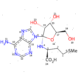 CSCC[C@H](N[C@@]1(n2cnc3c(N)ncnc32)O[C@H](CO)[C@@H](O)[C@H]1O)C(=O)O